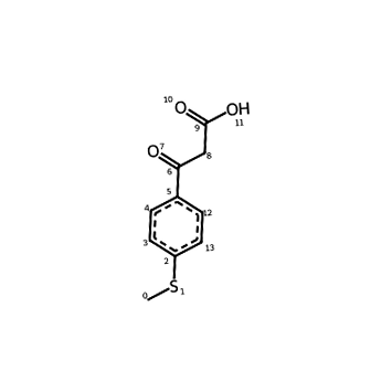 CSc1ccc(C(=O)CC(=O)O)cc1